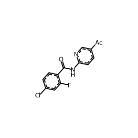 CC(=O)c1ccc(NC(=O)c2ccc(Cl)cc2F)nc1